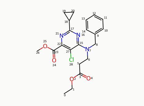 CCOC(=O)CCN(Cc1ccccc1)c1nc(C2CC2)nc(C(=O)OC)c1Cl